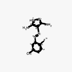 Nc1n[nH]c(N)c1N=Nc1cc(Cl)ccc1F